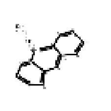 [Cl-].[Cl-].[Zr+].c1ccc2[nH+]c3ccccc3cc2c1